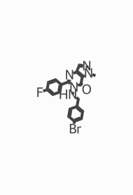 Cn1ncc2nc(-c3ccc(F)cc3)n(NCc3ccc(Br)cc3)c(=O)c21